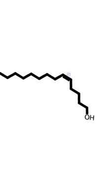 CCCCCCCC/C=C\CCCCO